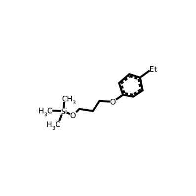 CCc1ccc(OCCCO[Si](C)(C)C)cc1